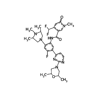 CC1CN(c2nccc(-c3cc(NC(=O)c4cn(C)c(=O)cc4C(F)F)c(N4CC(C)N(C)C(C)C4)cc3F)n2)CC(C)O1